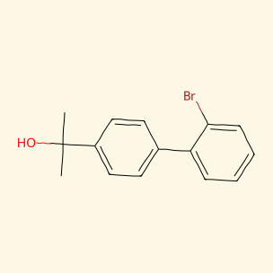 CC(C)(O)c1ccc(-c2ccccc2Br)cc1